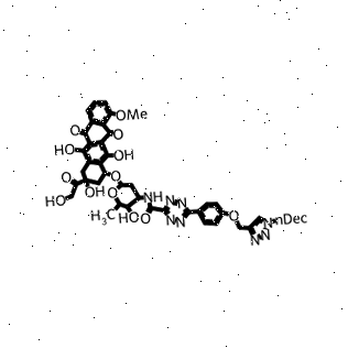 CCCCCCCCCCn1cc(COc2ccc(-c3nnc(C(=O)NC4CC(OC5CC(O)(C(=O)CO)Cc6c(O)c7c(c(O)c65)C(=O)c5c(OC)cccc5C7=O)OC(C)C4O)nn3)cc2)nn1